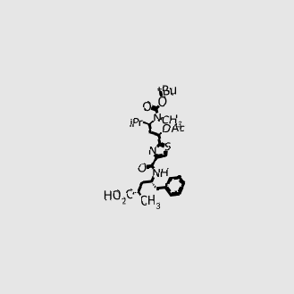 CC(=O)O[C@H](C[C@@H](C(C)C)N(C)C(=O)OC(C)(C)C)c1nc(C(=O)N[C@H](Cc2ccccc2)C[C@H](C)C(=O)O)cs1